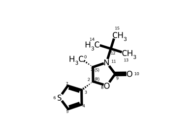 C[C@H]1[C@@H](c2ccsc2)OC(=O)N1C(C)(C)C